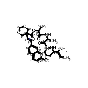 CC=C(N)C1CCCN(C(=O)C(C)NC(=O)C(OC(=O)C2(/C=C/c3ccc4ccc(CC)nc4c3)COCOC2)C(C)C)N1